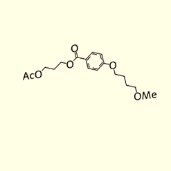 COCCCCOc1ccc(C(=O)OCCCOC(C)=O)cc1